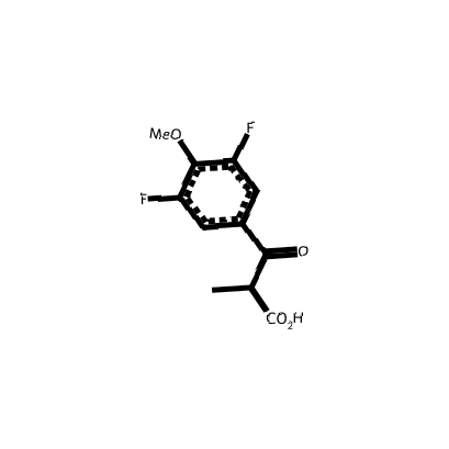 COc1c(F)cc(C(=O)C(C)C(=O)O)cc1F